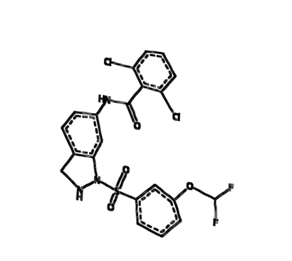 O=C(Nc1ccc2c(c1)N(S(=O)(=O)c1cccc(OC(F)F)c1)NC2)c1c(Cl)cccc1Cl